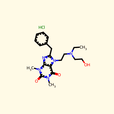 CCN(CCO)CCn1c(Cc2ccccc2)nc2c1c(=O)n(C)c(=O)n2C.Cl